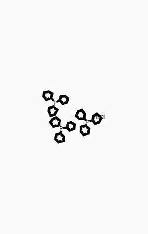 Cl.c1ccc(P(c2ccccc2)c2ccccc2)cc1.c1ccc(P(c2ccccc2)c2ccccc2)cc1.c1ccc(P(c2ccccc2)c2ccccc2)cc1